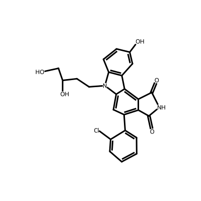 O=C1NC(=O)c2c1c(-c1ccccc1Cl)cc1c2c2cc(O)ccc2n1CCC(O)CO